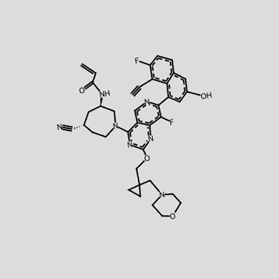 C#Cc1c(F)ccc2cc(O)cc(-c3ncc4c(N5CC[C@H](C#N)C[C@@H](NC(=O)C=C)C5)nc(OCC5(CN6CCOCC6)CC5)nc4c3F)c12